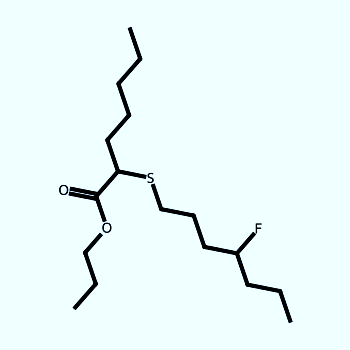 CCCCCC(SCCCC(F)CCC)C(=O)OCCC